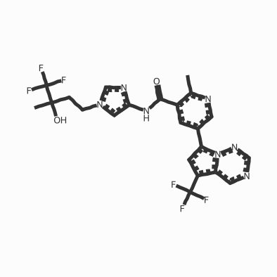 Cc1ncc(-c2cc(C(F)(F)F)c3cncnn23)cc1C(=O)Nc1cn(CCC(C)(O)C(F)(F)F)cn1